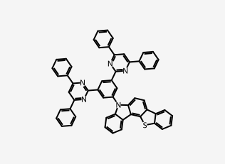 c1ccc(-c2cc(-c3ccccc3)nc(-c3cc(-c4nc(-c5ccccc5)cc(-c5ccccc5)n4)cc(-n4c5ccccc5c5c6sc7ccccc7c6ccc54)c3)n2)cc1